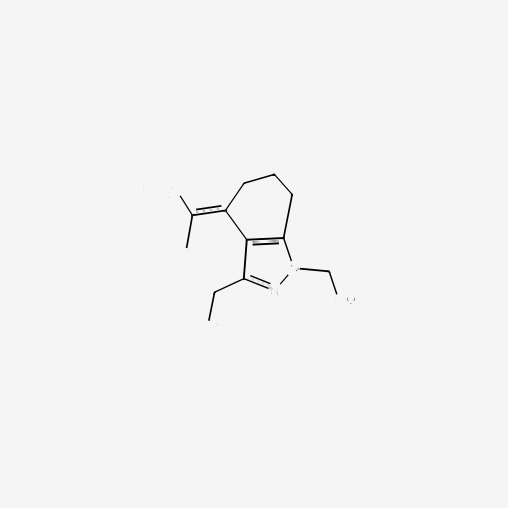 CCOC(=O)/C(F)=C1\CCCc2c1c(COC(C)=O)nn2COC